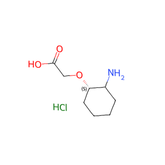 Cl.NC1CCCC[C@@H]1OCC(=O)O